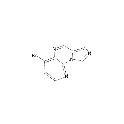 Brc1ccnc2c1ncc1cncn12